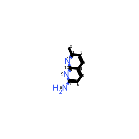 Cc1ccc2ccc(N)nc2n1